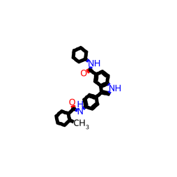 CC1CCCCC1C(=O)Nc1ccc(-c2c[nH]c3ccc(C(=O)NC4CCCCC4)cc23)cc1